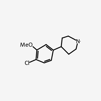 COc1cc(C2CC[N]CC2)ccc1Cl